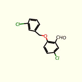 O=Cc1cc(Cl)ccc1OCc1cccc(Cl)c1